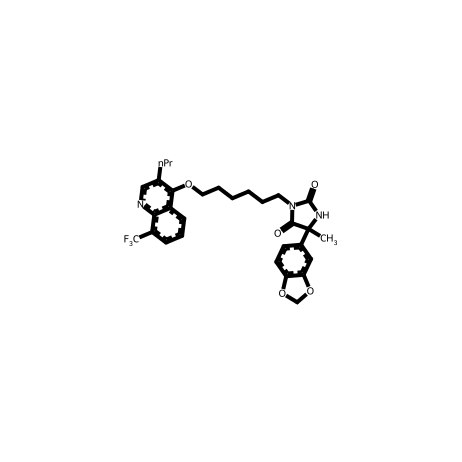 CCCc1cnc2c(C(F)(F)F)cccc2c1OCCCCCCN1C(=O)NC(C)(c2ccc3c(c2)OCO3)C1=O